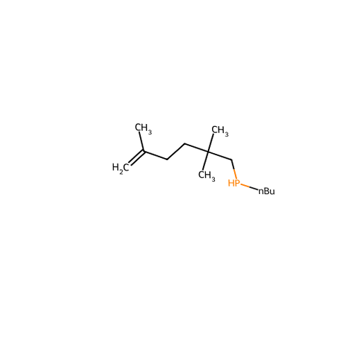 C=C(C)CCC(C)(C)CPCCCC